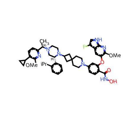 COc1nc2[nH]cc(F)c2cc1Oc1cc(N2CCC3(CC2)CC(N2CCN([C@H](C)c4ccc(C5CC5)c(OC)n4)C[C@H]2c2ccccc2C(C)C)C3)ccc1C(=O)NO